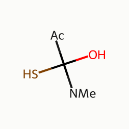 CNC(O)(S)C(C)=O